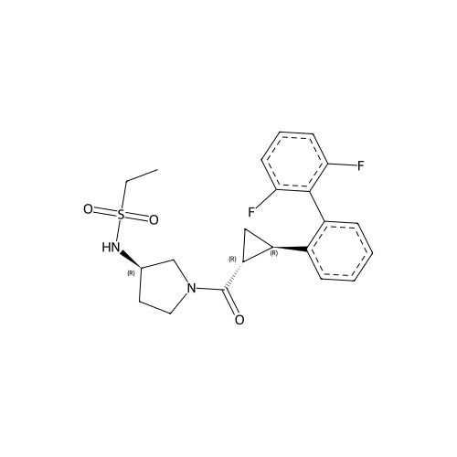 CCS(=O)(=O)N[C@@H]1CCN(C(=O)[C@@H]2C[C@H]2c2ccccc2-c2c(F)cccc2F)C1